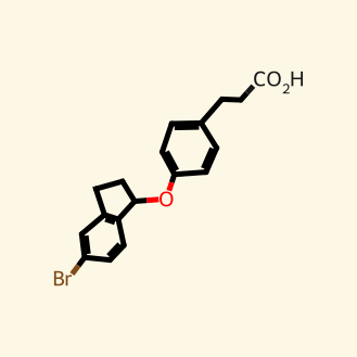 O=C(O)CCc1ccc(OC2CCc3cc(Br)ccc32)cc1